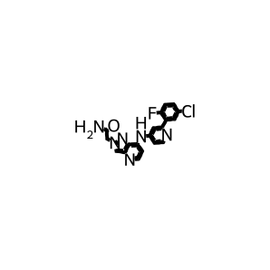 NC(=O)Cn1cc2nccc(Nc3ccnc(-c4cc(Cl)ccc4F)c3)c2n1